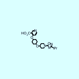 CC(C)c1noc(N2CCC(OC3CCC(Oc4ccncc4C(=O)O)CC3)CC2)n1